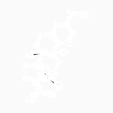 COc1ccc2c(c1)CC[C@@H]1[C@@H]2CC[C@@]2(C)C13CC[C@]2(C(C)=O)[C@H](C)C3